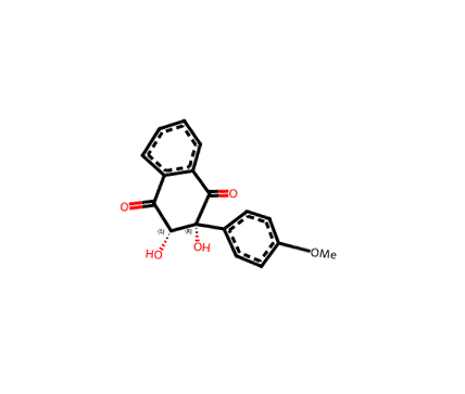 COc1ccc([C@]2(O)C(=O)c3ccccc3C(=O)[C@H]2O)cc1